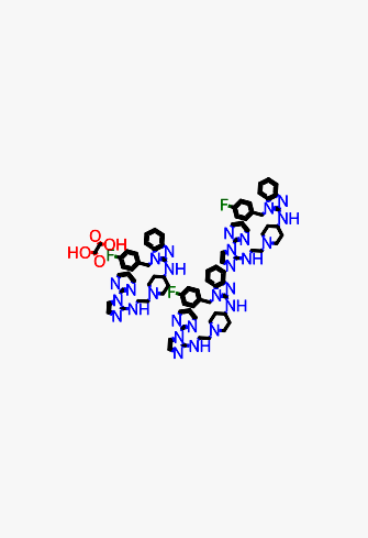 Fc1ccc(Cn2c(NC3CCN(CCNc4nccn4-c4ncccn4)CC3)nc3ccccc32)cc1.Fc1ccc(Cn2c(NC3CCN(CCNc4nccn4-c4ncccn4)CC3)nc3ccccc32)cc1.Fc1ccc(Cn2c(NC3CCN(CCNc4nccn4-c4ncccn4)CC3)nc3ccccc32)cc1.O=C(O)C(=O)O